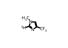 [2H]c1nc(C(F)(F)F)cn1C